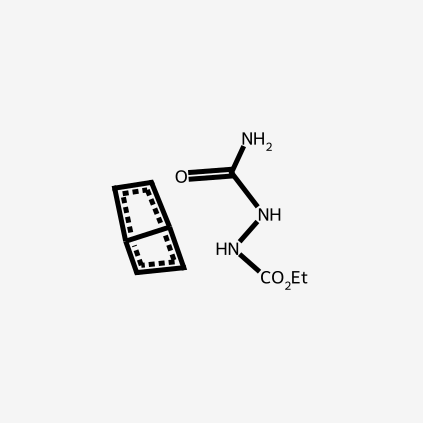 CCOC(=O)NNC(N)=O.c1cc2ccc1-2